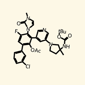 CC(=O)Oc1c(-c2cccc(Cl)c2)cc(F)c(-n2ccn(C)c2=O)c1-c1cncc(N2CCC(C)(NC(=O)OC(C)(C)C)C2)c1